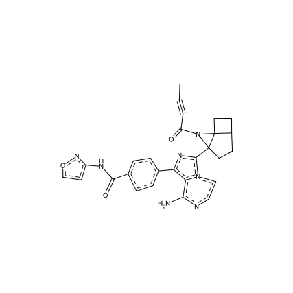 CC#CC(=O)N1C2(c3nc(-c4ccc(C(=O)Nc5ccon5)cc4)c4c(N)nccn34)CCC3CCC312